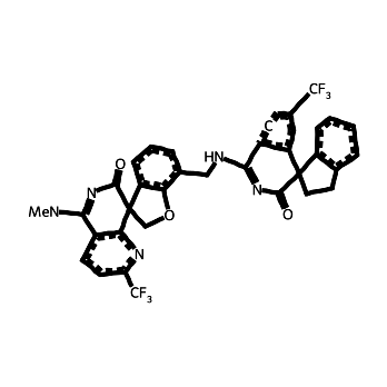 CNC1=NC(=O)C2(COc3c(CNC4=NC(=O)C5(CCc6ccccc65)c5cc(C(F)(F)F)ccc54)cccc32)c2nc(C(F)(F)F)ccc21